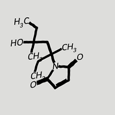 CCC(C)(O)CC(C)(CC)N1C(=O)C=CC1=O